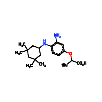 CC1(C)CC(Nc2ccc(OC(C(=O)O)C(C)(C)C)cc2N)CC(C)(C)C1